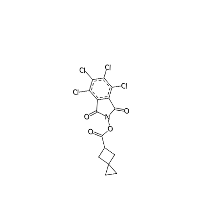 O=C(ON1C(=O)c2c(Cl)c(Cl)c(Cl)c(Cl)c2C1=O)C1CC2(CC2)C1